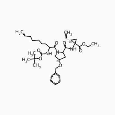 C=CCCCCCC(NC(=O)OC(C)(C)C)C(=O)N1C[C@H](OCc2ccccc2)CC1C(=O)NC1(C(=O)OCC)C[C@H]1C=C